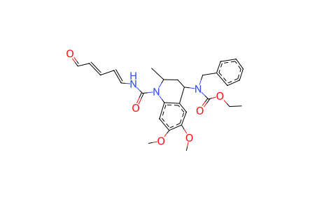 CCOC(=O)N(Cc1ccccc1)C1CC(C)N(C(=O)NC=CC=CC=O)c2cc(OC)c(OC)cc21